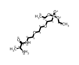 CCOP(=O)(CCOCCOCCNC(=O)[C@H](C)N)OCC